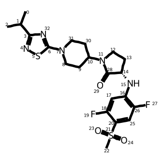 CC(C)c1nsc(N2CCC(N3CC[C@H](Nc4cc(F)c(S(C)(=O)=O)cc4F)C3=O)CC2)n1